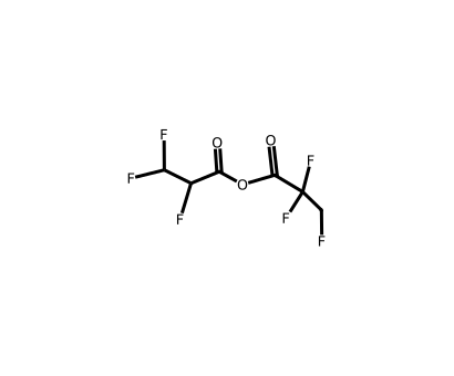 O=C(OC(=O)C(F)(F)CF)C(F)C(F)F